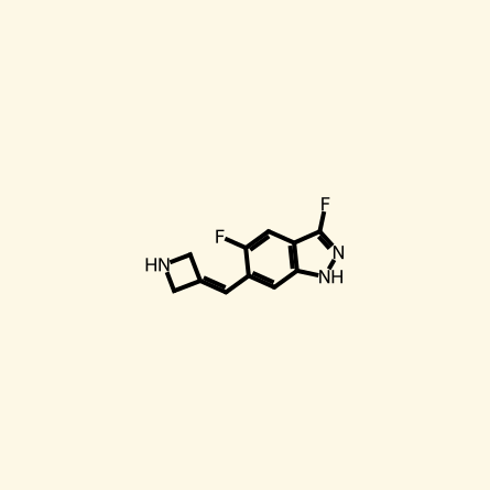 Fc1cc2c(F)n[nH]c2cc1C=C1CNC1